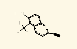 C#Cc1ccc2c(C(F)(F)F)c(N)ccc2n1